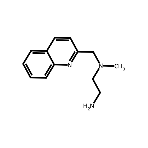 CN(CCN)Cc1ccc2ccccc2n1